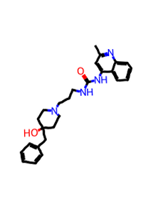 Cc1cc(NC(=O)NCCCN2CCC(O)(Cc3ccccc3)CC2)c2ccccc2n1